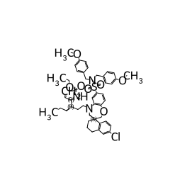 C=C[C@@H](NC(=O)OCC)[C@H](CCC)CCN1C[C@@]2(CCCc3cc(Cl)ccc32)COc2ccc(S(=O)(=O)N(Cc3ccc(OC)cc3)Cc3ccc(OC)cc3)cc21